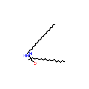 CCCCCCCCCCCCCCCCCCC1CNC(C(C)(CC=O)CCCCCCCCCCCCCCCC)=N1